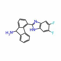 NC1c2ccccc2-c2c(-c3nc4cc(F)c(F)cc4[nH]3)cccc21